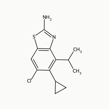 CC(C)c1c(C2CC2)c(Cl)cc2sc(N)nc12